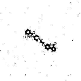 Nc1ccccc1C(=O)NC1CCN(CCCOc2ccc3c4c(c(=O)oc3c2)CCC4)CC1